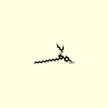 CCCCCCCCCCCCCCCc1cc(OCC(CC)CCCC)cc(-c2ccc(CO)cc2)c1